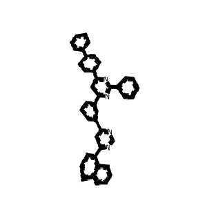 c1ccc(-c2ccc(-c3cc(-c4cccc(-c5cc(-c6cccc7ccccc67)ncn5)c4)nc(-c4ccccc4)n3)cc2)cc1